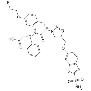 NS(=O)(=O)c1nc2ccc(OCc3cn([C@@H](Cc4ccc(OCCF)cc4)C(=O)N[C@@H](CC(=O)O)c4ccccc4)nn3)cc2s1